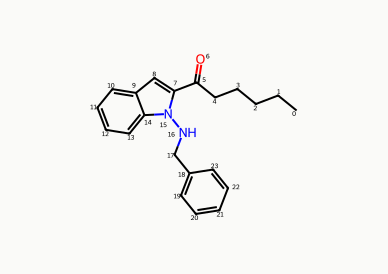 CCCCCC(=O)c1cc2ccccc2n1NCc1ccccc1